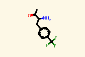 CC(=O)C(N)Cc1ccc(C(F)(F)F)cc1